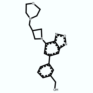 OCc1cccc(-c2cc(N3CC(CN4CCOCC4)C3)c3nonc3c2)c1